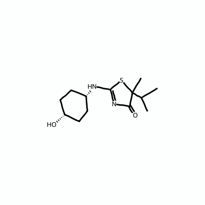 CC(C)C1(C)SC(N[C@H]2CC[C@@H](O)CC2)=NC1=O